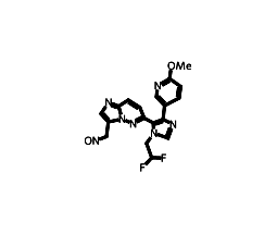 COc1ccc(-c2ncn(CC(F)F)c2-c2ccc3ncc(CN=O)n3n2)cn1